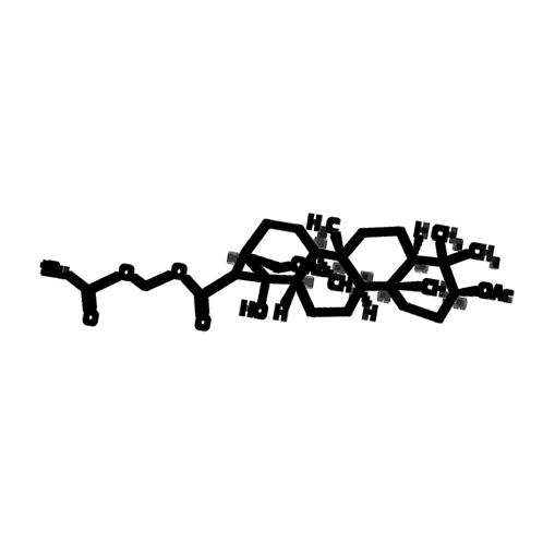 CC(=O)OC[C@@]12CC[C@]3(C)[C@H](CC[C@@H]4[C@@]5(C)CC[C@H](OC(C)=O)C(C)(C)[C@@H]5CC[C@]43C)C1(O)C2C(=O)OCOC(=O)C(C)(C)C